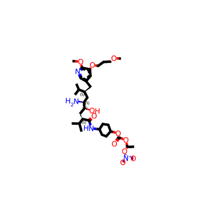 COCCCOc1cc(C[C@@H](C[C@H](N)[C@@H](O)C[C@H](C(=O)NC2CCC(OC(=O)OC(C)O[N+](=O)[O-])CC2)C(C)C)C(C)C)cnc1OC